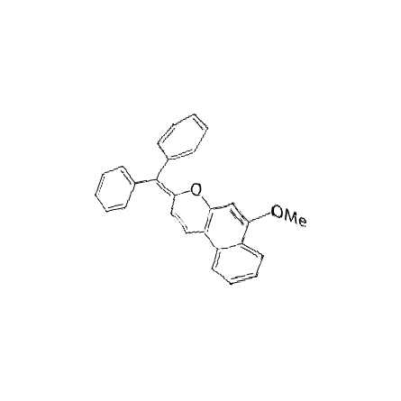 COc1cc2c(c3ccccc13)C=CC(=C(c1ccccc1)c1ccccc1)O2